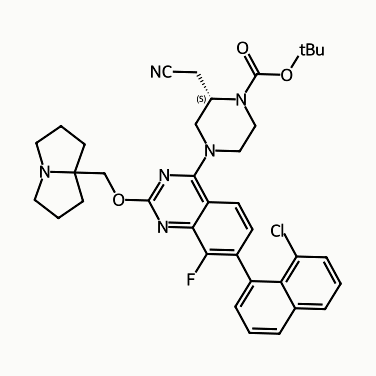 CC(C)(C)OC(=O)N1CCN(c2nc(OCC34CCCN3CCC4)nc3c(F)c(-c4cccc5cccc(Cl)c45)ccc23)C[C@@H]1CC#N